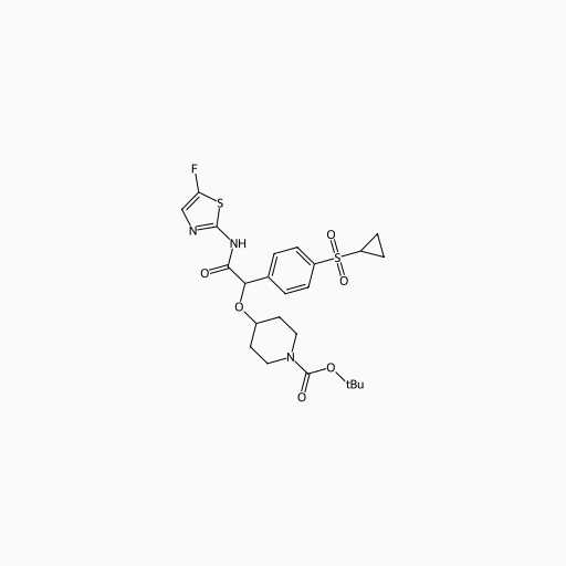 CC(C)(C)OC(=O)N1CCC(OC(C(=O)Nc2ncc(F)s2)c2ccc(S(=O)(=O)C3CC3)cc2)CC1